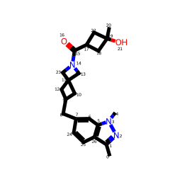 Cc1nn(C)c2cc(CC3CC4(C3)CN(C(=O)C3CC(C)(O)C3)C4)ccc12